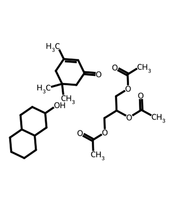 CC(=O)OCC(COC(C)=O)OC(C)=O.CC1=CC(=O)CC(C)(C)C1.OC1CCC2CCCCC2C1